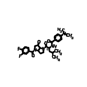 CC(C)C[C@H](NC(=O)c1ccc(N(C)C)cc1)C(=O)N1CCC2C1C(=O)CN2C(=O)c1ccc(F)c(F)c1